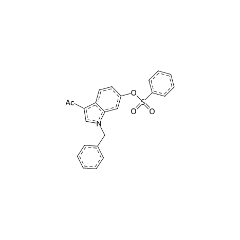 CC(=O)c1cn(Cc2ccccc2)c2cc(OS(=O)(=O)c3ccccc3)ccc12